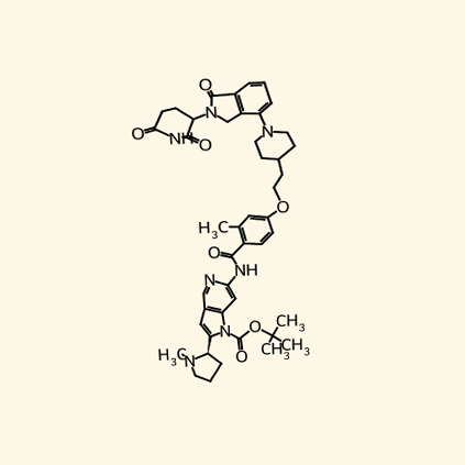 Cc1cc(OCCC2CCN(c3cccc4c3CN(C3CCC(=O)NC3=O)C4=O)CC2)ccc1C(=O)Nc1cc2c(cn1)cc([C@H]1CCCN1C)n2C(=O)OC(C)(C)C